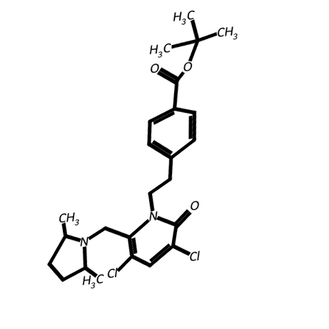 CC1CCC(C)N1Cc1c(Cl)cc(Cl)c(=O)n1CCc1ccc(C(=O)OC(C)(C)C)cc1